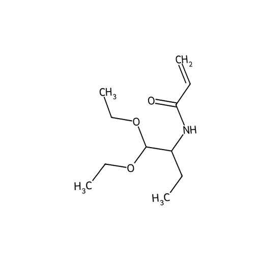 C=CC(=O)NC(CC)C(OCC)OCC